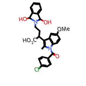 COc1ccc2c(c1)c(C(CCN1C(O)c3ccccc3C1O)C(=O)O)c(C)n2C(=O)c1ccc(Cl)cc1